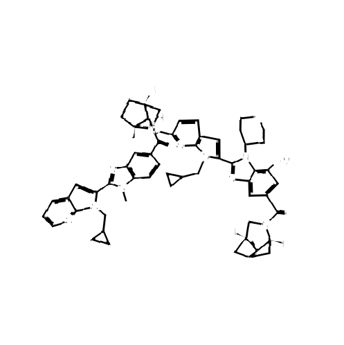 COc1cc(C(=O)N2C[C@H]3CC4C[C@@H]2[C@H]43)cc2nc(-c3cc4ccc(N[C@@H]5[C@@H]6CC[C@H]5N(C(=O)c5ccc7c(c5)nc(-c5cc8cccnc8n5CC5CC5)n7C)C6)nc4n3CC3CC3)n(C3CCOCC3)c12